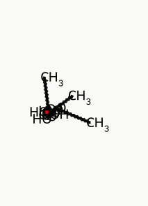 CCCCCCCCCCCCCCCCCCC(=O)O[C@H](CCCCCCCCCCC)CC(=O)N[C@H]1C(O)O[C@H](CO)[C@@H](OS(=O)(=O)O)[C@@H]1OC(=O)CCCCCCCCCCCCCCCCCC